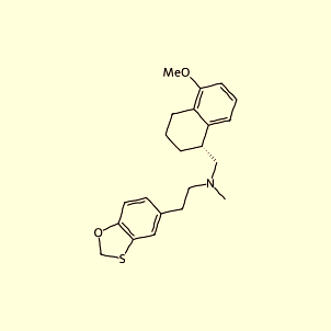 COc1cccc2c1CCC[C@H]2CN(C)CCc1ccc2c(c1)SCO2